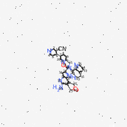 N#Cc1cnccc1-c1ccc(CN(C(=O)c2cc3nc(N)c4c(c3[nH]2)COC4)[C@@H]2CCCc3cccnc32)nc1